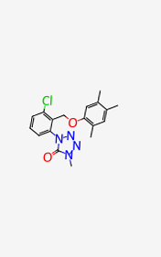 Cc1cc(C)c(OCc2c(Cl)cccc2-n2nnn(C)c2=O)cc1C